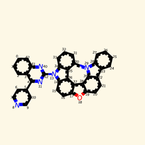 c1ccc2c(-c3ccncc3)nc(-n3c4ccc5oc6ccc7c8ccccc8n8c9cccc3c9c4c5c6c78)nc2c1